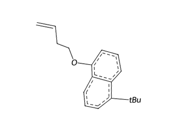 C=CCCOc1cccc2c(C(C)(C)C)cccc12